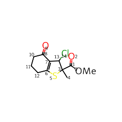 COC(=O)C1(C)SC2=C(C(=O)CCC2)C1Cl